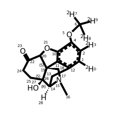 [2H]c1c([2H])c(OC([2H])([2H])[2H])c2c3c1C[C@H]1N(C)CC[C@@]34C(O2)C(=O)CC[C@@]14O